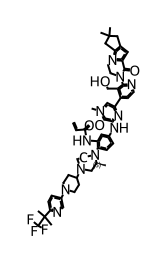 C=CC(=O)Nc1cc(Nc2nc(-c3ccnc(N4CCn5c(cc6c5CC(C)(C)C6)C4=O)c3CO)cn(C)c2=O)ccc1N1CCN(C2CCN(c3ccc(C(C)(C)C(F)(F)F)nc3)CC2)C[C@@H]1C